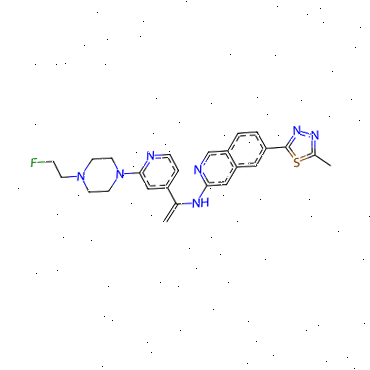 C=C(Nc1cc2cc(-c3nnc(C)s3)ccc2cn1)c1ccnc(N2CCN(CCF)CC2)c1